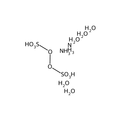 N.N.O.O.O.O.O.O=S(=O)(O)OOS(=O)(=O)O